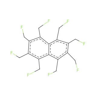 FCc1c(CF)c(CF)c2c(CF)c(CF)c(CF)c(CF)c2c1CF